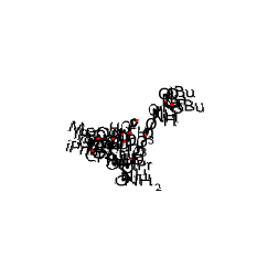 CC[C@H](C)[C@@H]([C@@H](CC(=O)N1CCC[C@H]1[C@H](OC)[C@@H](C)C(=O)N[C@H](C)[C@@H](O)c1ccccc1)OC)N(C)C(=O)[C@H](NC(=O)[C@H](C(C)C)N(C)C(=O)OCc1ccc(NC(=O)[C@@H](CCCNC(N)=O)NC(=O)[C@@H](NC(=O)COCCOCCOCCOCCNC(=O)CC[C@H](CNC(=O)OC(C)(C)C)NC(=O)OC(C)(C)C)C(C)C)cc1)C(C)C